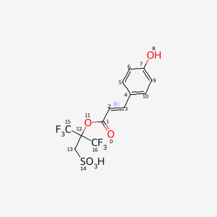 O=C(/C=C/c1ccc(O)cc1)OC(CS(=O)(=O)O)(C(F)(F)F)C(F)(F)F